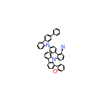 N#Cc1cccc(-n2c3ccccc3c3ccc4oc5ccccc5c4c32)c1-c1ccc(-n2c3ccccc3c3ccc(-c4ccccc4)cc32)cc1